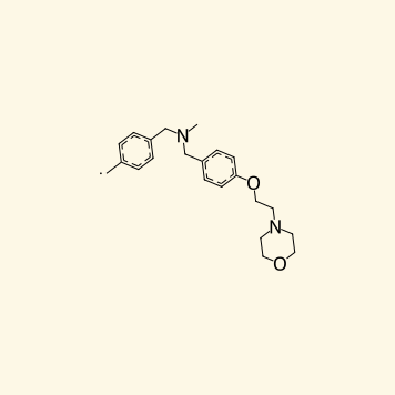 [CH2]c1ccc(CN(C)Cc2ccc(OCCN3CCOCC3)cc2)cc1